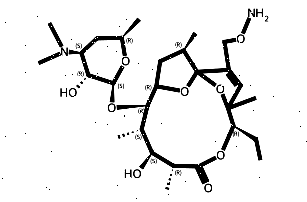 CC[C@H]1OC(=O)[C@H](C)[C@@H](O)[C@H](C)[C@@H](O[C@@H]2O[C@H](C)C[C@H](N(C)C)[C@H]2O)[C@@]2(C)C[C@@H](C)C3(OC1(C)C=C3CON)O2